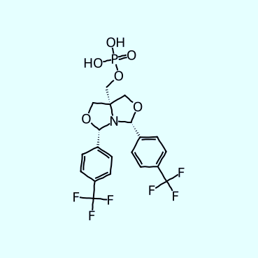 O=P(O)(O)OC[C@]12CO[C@H](c3ccc(C(F)(F)F)cc3)N1[C@H](c1ccc(C(F)(F)F)cc1)OC2